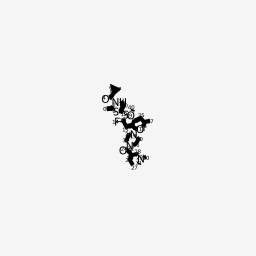 C=C(NC(=O)C1CC1)S/C(=C\C)S[C@@H](F)/C=C(C(=O)N1CCN(C(=O)/C(=C/C)CN(C)C)CC1)\C(=C/C(C)C)OC